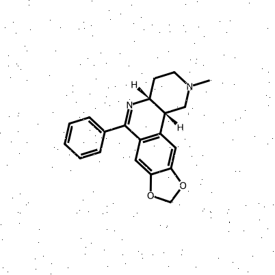 CN1CC[C@H]2N=C(c3ccccc3)c3cc4c(cc3[C@H]2C1)OCO4